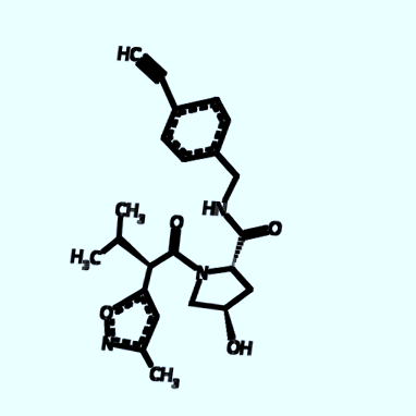 C#Cc1ccc(CNC(=O)[C@@H]2C[C@@H](O)CN2C(=O)[C@@H](c2cc(C)no2)C(C)C)cc1